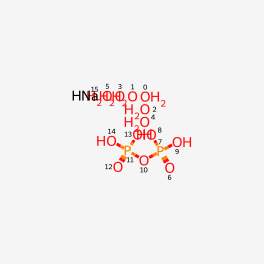 O.O.O.O.O.O.O=P(O)(O)OP(=O)(O)O.[NaH]